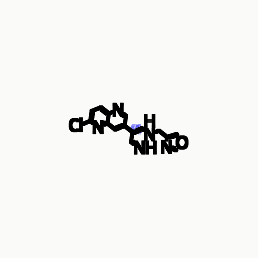 N=C/C(=C\NCc1cocn1)c1cnc2ccc(Cl)nc2c1